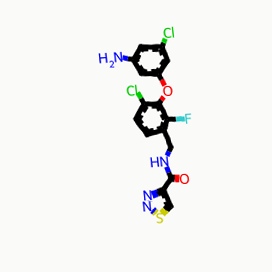 Nc1cc(Cl)cc(Oc2c(Cl)ccc(CNC(=O)c3csnn3)c2F)c1